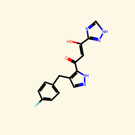 O=C(C=C(O)c1nc[nH]n1)c1[nH]ncc1Cc1ccc(F)cc1